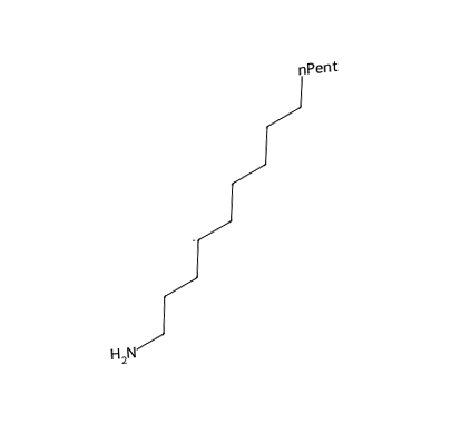 CCCCCCCCCC[CH]CCCN